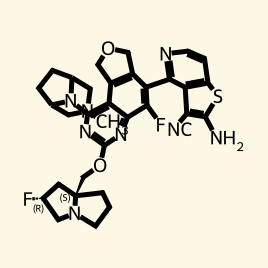 CN1CC2CCC(C1)N2c1nc(OC[C@@]23CCCN2C[C@H](F)C3)nc2c(F)c(-c3nccc4sc(N)c(C#N)c34)c3c(c12)COC3